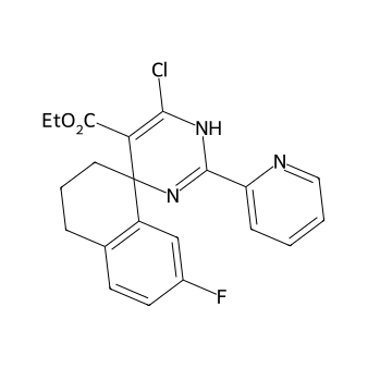 CCOC(=O)C1=C(Cl)NC(c2ccccn2)=NC12CCCc1ccc(F)cc12